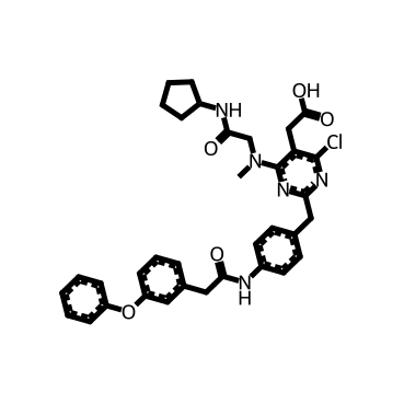 CN(CC(=O)NC1CCCC1)c1nc(Cc2ccc(NC(=O)Cc3cccc(Oc4ccccc4)c3)cc2)nc(Cl)c1CC(=O)O